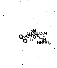 N=C(N)NCCC[C@H](NC(=O)[C@H](CS)NC(=O)OCC1c2ccccc2-c2ccccc21)C(=O)O